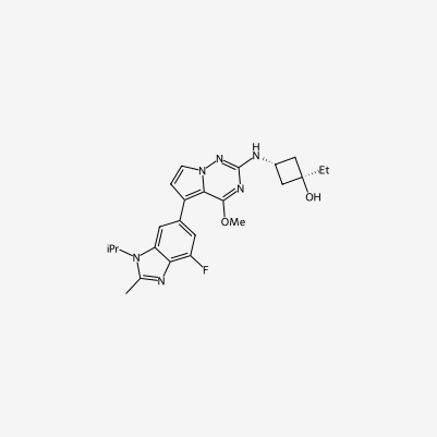 CC[C@]1(O)C[C@H](Nc2nc(OC)c3c(-c4cc(F)c5nc(C)n(C(C)C)c5c4)ccn3n2)C1